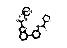 O=C(N[C@H]1CN2CCC1CC2)c1cc2cccc(-c3cccc(NC(=O)C4CCCO4)c3)c2s1